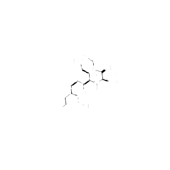 C=C(NCC)C(=C)NC(/C=C/C)=C(Br)/C=C\C(CCC)CCC